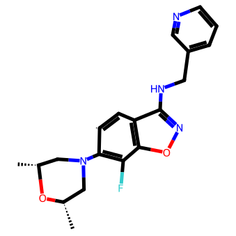 C[C@@H]1CN(c2[c]cc3c(NCc4cccnc4)noc3c2F)C[C@H](C)O1